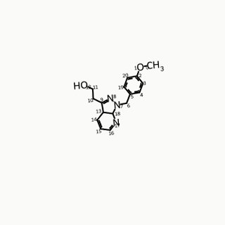 COc1ccc(CN2N=C(CCO)C3C=CC=NC32)cc1